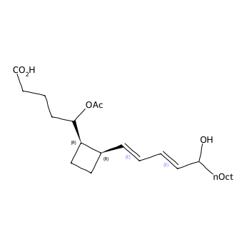 CCCCCCCCC(O)/C=C/C=C/[C@H]1CC[C@H]1C(CCCC(=O)O)OC(C)=O